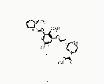 CN1CCC[C@H]1COc1nc(Cl)cc(OCC[C@H]2CN(C(=O)OC(C)(C)C)CCN2)c1C(=O)O